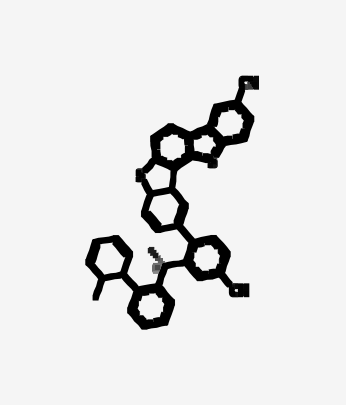 CC1C=CC=CC1c1ccccc1[C@H](C)c1cc(C#N)ccc1C1=CC2c3c(ccc4c3sc3ccc(C#N)cc34)SC2C=C1